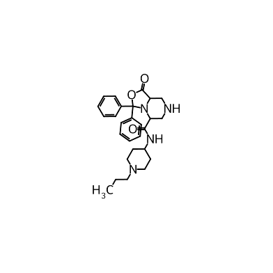 CCCN1CCC(NC(=O)C2CNCC3C(=O)OC(c4ccccc4)(c4ccccc4)N23)CC1